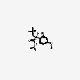 COc1ccc([C@](N)(CC(C)(C)C)C(=O)OC(C)C)c(F)c1